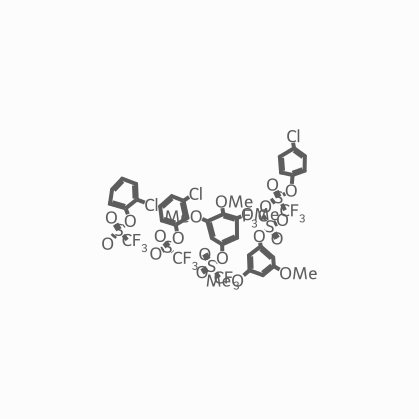 COc1cc(OC)cc(OS(=O)(=O)C(F)(F)F)c1.COc1cc(OS(=O)(=O)C(F)(F)F)cc(OC)c1OC.O=S(=O)(Oc1ccc(Cl)cc1)C(F)(F)F.O=S(=O)(Oc1cccc(Cl)c1)C(F)(F)F.O=S(=O)(Oc1ccccc1Cl)C(F)(F)F